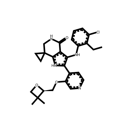 CCc1c(Cl)cccc1Nc1c(-c2ccncc2OC[C@@H]2OCC2(C)C)[nH]c2c1C(=O)NCC21CC1